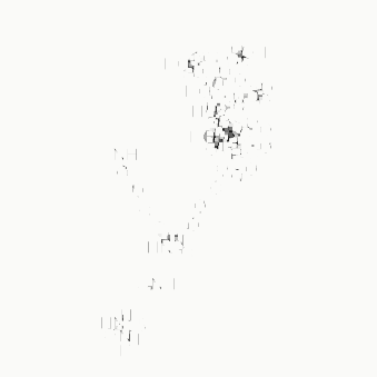 CNCCOCCOCCOCCOCC(=O)N[C@@H](CCCCNC(=O)CCCC[C@@H]1SC[C@@H]2NC(=O)N[C@@H]21)C(=O)NCCOCCOCCOCCO[C@H]1[C@H](OC)[C@@H](OC)[C@@H](O[C@H]2[C@H](OC)[C@@H](OC)[C@H](O[C@H]3[C@H](OS(=O)(=O)O)[C@@H](OS(=O)(=O)O)[C@@H](O[C@H]4[C@H](OC)[C@@H](OC)[C@H](O[C@H]5[C@H](OC)[C@@H](OS(=O)(=O)O)[C@@H](OC)O[C@@H]5COS(=O)(=O)O)O[C@H]4C(=O)O)O[C@@H]3COS(=O)(=O)O)O[C@@H]2C(=O)O)O[C@@H]1COS(=O)(=O)O